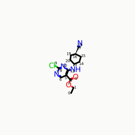 CCOC(=O)c1cnc(Cl)nc1N[C@H]1CC[C@H](C#N)CC1